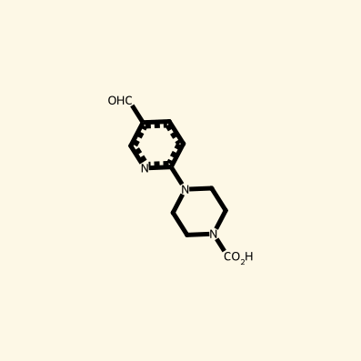 O=Cc1ccc(N2CCN(C(=O)O)CC2)nc1